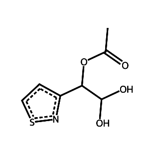 CC(=O)OC(c1ccsn1)C(O)O